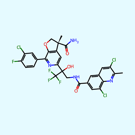 Cc1nc2c(Cl)cc(C(=O)NCC(O)(c3cc4c(c(-c5ccc(F)c(Cl)c5)n3)OC[C@]4(C)C(N)=O)C(F)(F)F)cc2cc1Cl